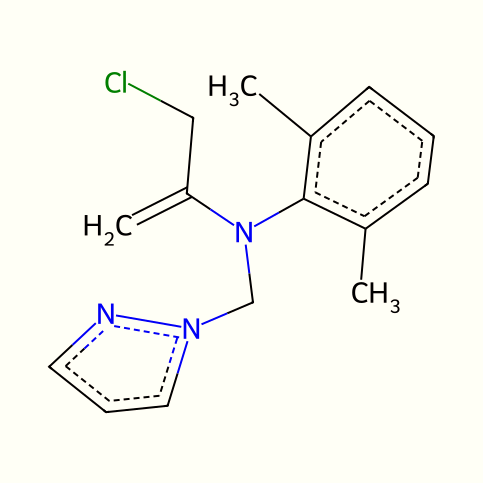 C=C(CCl)N(Cn1cccn1)c1c(C)cccc1C